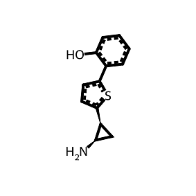 N[C@@H]1C[C@@H]1c1ccc(-c2ccccc2O)s1